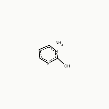 N.Oc1ncccn1